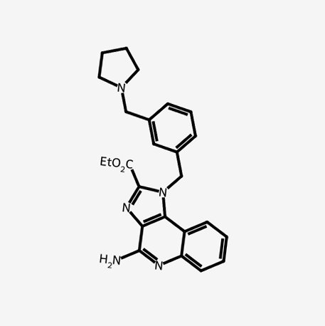 CCOC(=O)c1nc2c(N)nc3ccccc3c2n1Cc1cccc(CN2CCCC2)c1